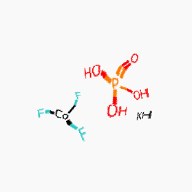 O=P(O)(O)O.[F][Co]([F])[F].[KH]